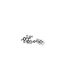 CC(C)(C)OC(=O)N1CC(CNc2nonc2/C(=N/O)Nc2ccc(F)c(Br)c2)C1